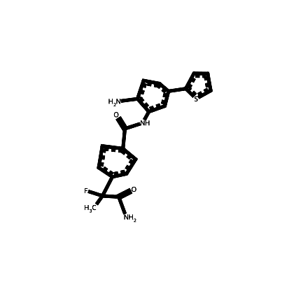 CC(F)(C(N)=O)c1ccc(C(=O)Nc2cc(-c3cccs3)ccc2N)cc1